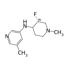 Cc1cncc(NC2CCN(C)C[C@H]2F)c1